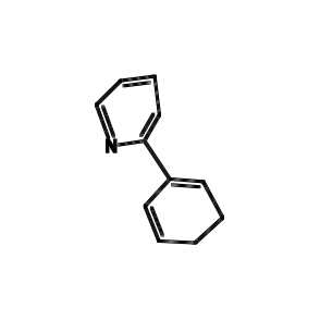 C1=CC(c2ccccn2)=CCC1